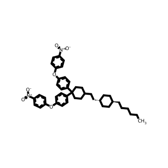 CCCCCC[C@H]1CC[C@H](CCC2CCC(c3ccc(Oc4ccc([N+](=O)[O-])cc4)cc3)(c3ccc(Oc4ccc([N+](=O)[O-])cc4)cc3)CC2)CC1